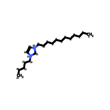 CCCCCCCCCCCCN1C=CN(CCCCC)C1